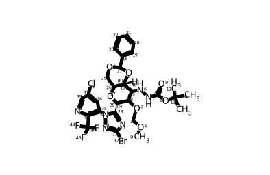 COCOC1C(NNC(=O)OC(C)(C)C)[C@H]2OC(c3ccccc3)OCC2O[C@H]1c1nc(Br)nn1-c1cc(Cl)cnc1C(F)(F)F